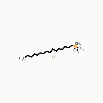 CCCCCCCCCCCCCCCC[P+](C)(C)C.[Cl-]